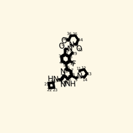 O=C1c2ccc(-c3cc(CN4CCCC4)c4[nH]nc(NC5CCC5)c4n3)c(F)c2CN1N1C(=O)CCCC1=O